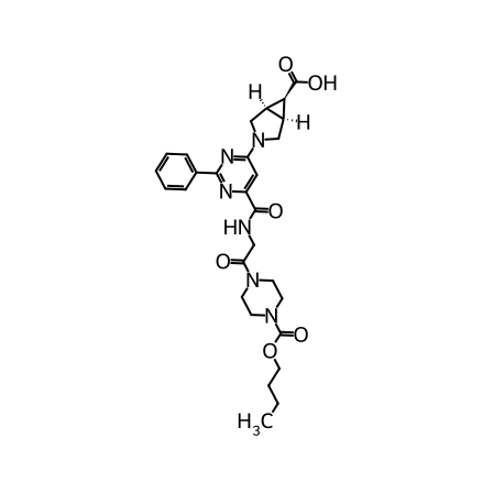 CCCCOC(=O)N1CCN(C(=O)CNC(=O)c2cc(N3C[C@@H]4[C@H](C3)[C@@H]4C(=O)O)nc(-c3ccccc3)n2)CC1